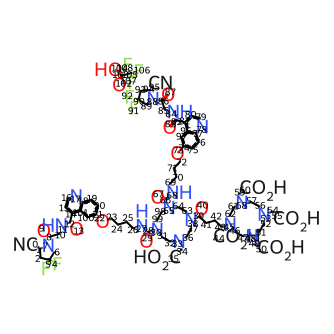 N#C[C@@H]1CC(F)(F)CN1C(=O)CNC(=O)c1ccnc2ccc(OCCCCNC(=O)N3CCN(CC(=O)O)CCN(C(=O)CCC(C(=O)O)N4CCN(CC(=O)O)CCN(CC(=O)O)CCN(CC(=O)O)CC4)CCN(C(=O)NCCCCOc4ccc5nccc(C(=O)NCC(=O)N6CC(F)(F)C[C@H]6C#N)c5c4)CC3)cc12.O=C(O)C(F)(F)F